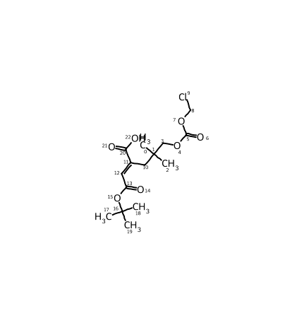 CC(C)(COC(=O)OCCl)C/C(=C\C(=O)OC(C)(C)C)C(=O)O